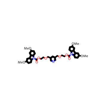 COc1ccc2c(c1)c1cc(OC)ccc1n2C(=O)OCCOCc1cncc(COCCOC(=O)n2c3ccc(OC)cc3c3cc(OC)ccc32)c1